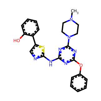 CN1CCN(c2nc(Nc3ncc(-c4ccccc4O)s3)nc(Oc3ccccc3)n2)CC1